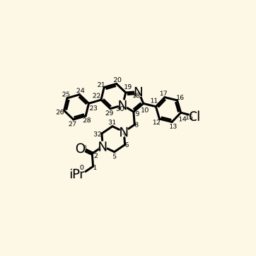 CC(C)CC(=O)N1CCN(Cc2c(-c3ccc(Cl)cc3)nc3ccc(-c4ccccc4)cn23)CC1